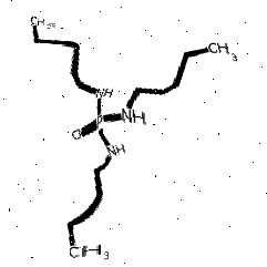 CCCCNP(=O)(NCCCC)NCCCC